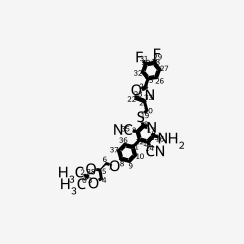 CC1(C)OC[C@H](COc2ccc(-c3c(C#N)c(N)nc(SCc4coc(-c5ccc(F)c(F)c5)n4)c3C#N)cc2)O1